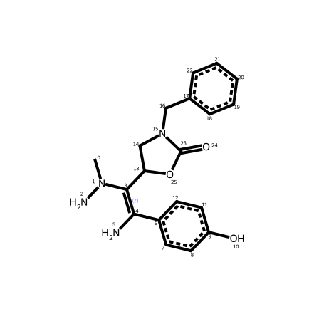 CN(N)/C(=C(\N)c1ccc(O)cc1)C1CN(Cc2ccccc2)C(=O)O1